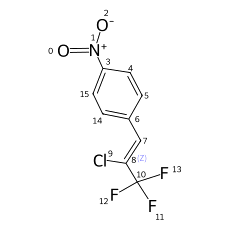 O=[N+]([O-])c1ccc(/C=C(\Cl)C(F)(F)F)cc1